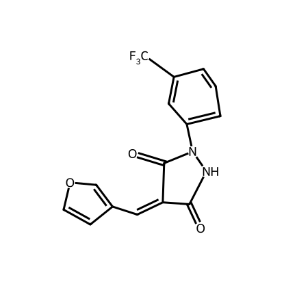 O=C1NN(c2cccc(C(F)(F)F)c2)C(=O)C1=Cc1ccoc1